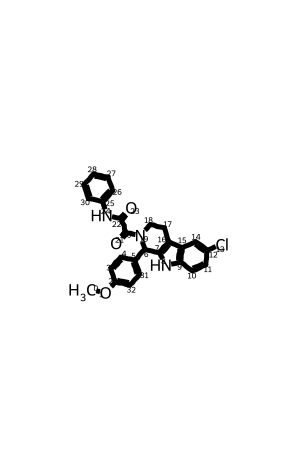 COc1ccc(C2c3[nH]c4ccc(Cl)cc4c3CCN2C(=O)C(=O)Nc2ccccc2)cc1